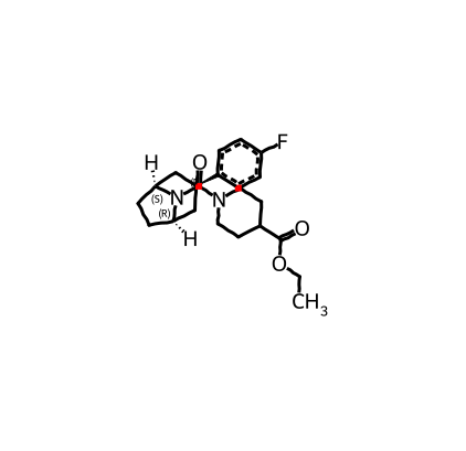 CCOC(=O)C1CCN(C(=O)N2[C@@H]3CC[C@H]2C[C@@H](c2ccc(F)cc2)C3)CC1